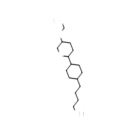 CCCCCC1CCC(C2CCC(OCC)CO2)CC1